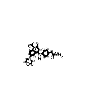 CC(=O)N1c2ccc(N3CCOCC3)cc2C(Nc2ccc(CC(N)=O)cc2)CC1C